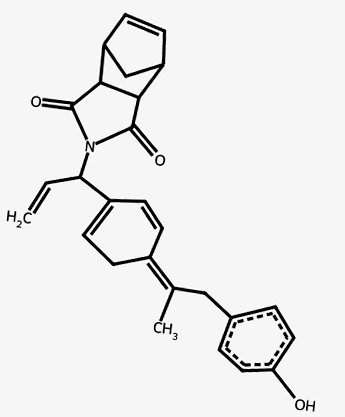 C=CC(C1=CCC(=C(C)Cc2ccc(O)cc2)C=C1)N1C(=O)C2C3C=CC(C3)C2C1=O